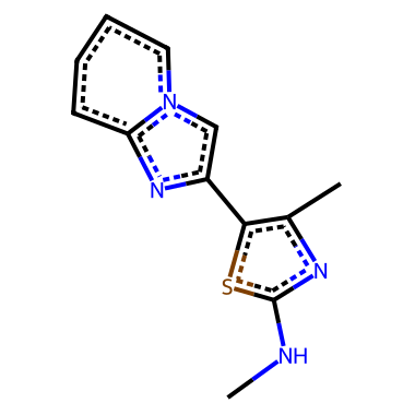 CNc1nc(C)c(-c2cn3ccccc3n2)s1